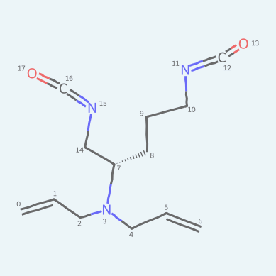 C=CCN(CC=C)[C@@H](CCCN=C=O)CN=C=O